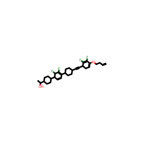 C=CCCOC1=CCC(C#CC2CCC(C3=C(F)C(F)C(C4CCC(C(C)O)CC4)C=C3)CC2)C(F)=C1F